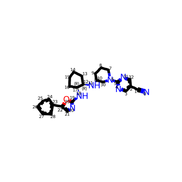 N#Cc1cnc(N2CCC[C@H](N[C@@H]3CCCC[C@H]3Nc3ncc(-c4ccccc4)o3)C2)nc1